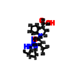 Cc1cccc2c1NNN2C(CC(=O)N1CCC(C(=O)O)C2CCCCC21)C(C)C